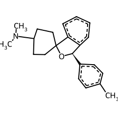 Cc1ccc([C@H]2OC3(CCC(N(C)C)CC3)c3ccccc32)cc1